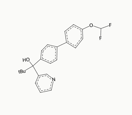 CC(C)(C)C(O)(c1ccc(-c2ccc(OC(F)F)cc2)cc1)c1cccnc1